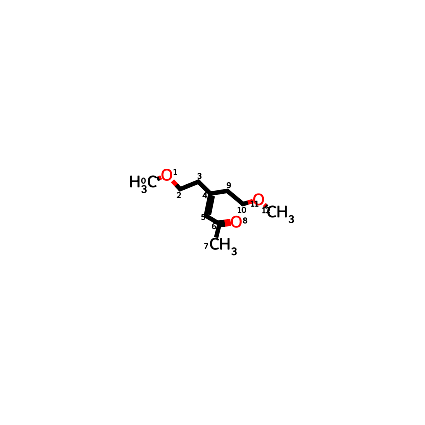 COCCC(=CC(C)=O)CCOC